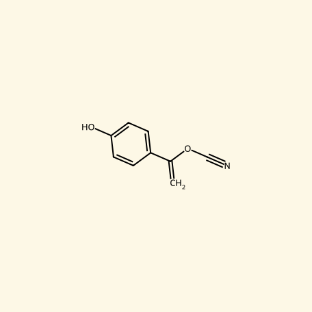 C=C(OC#N)c1ccc(O)cc1